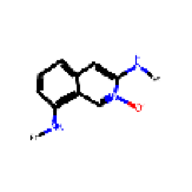 CCNc1cccc2cc(NCC)[n+]([O-])cc12